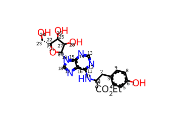 CCOC(=O)[C@H](Cc1ccc(O)cc1)Nc1ncnc2c1ncn2[C@@H]1O[C@H](CO)C(O)C1O